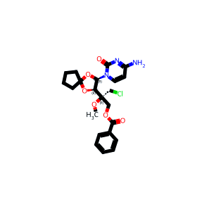 CO[C@](CCl)(COC(=O)c1ccccc1)[C@H]1OC2(CCCC2)O[C@H]1n1ccc(N)nc1=O